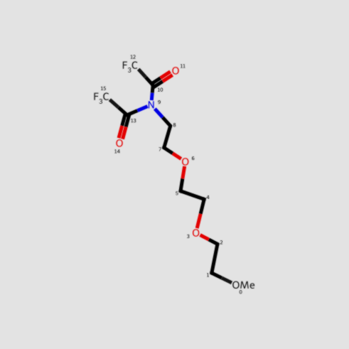 COCCOCCOCCN(C(=O)C(F)(F)F)C(=O)C(F)(F)F